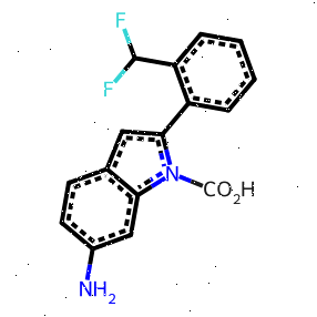 Nc1ccc2cc(-c3ccccc3C(F)F)n(C(=O)O)c2c1